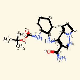 CC(C)(C)OC(=O)N[C@@H]1CCCC[C@H]1Nc1c(C(N)=O)cnn2cccc12